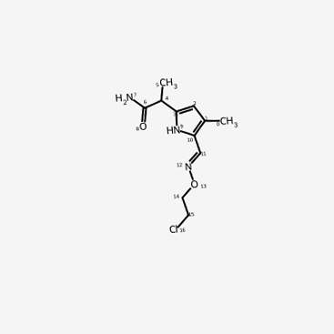 Cc1cc(C(C)C(N)=O)[nH]c1C=NOCCCl